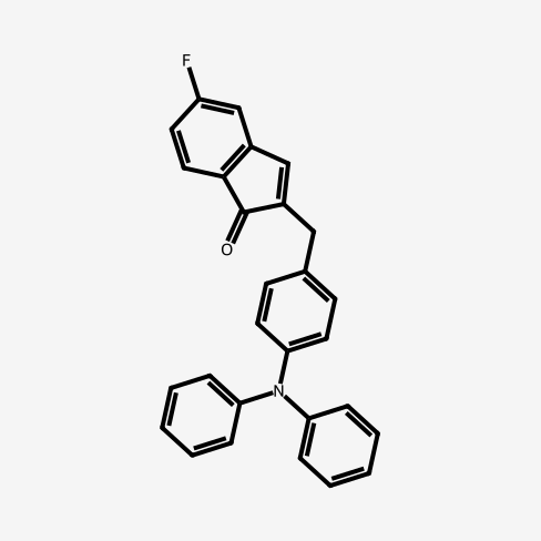 O=C1C(Cc2ccc(N(c3ccccc3)c3ccccc3)cc2)=Cc2cc(F)ccc21